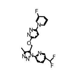 Cc1nnn(-c2ccc(C(F)F)cn2)c1COc1ccc(N2C=C=CC(F)=C2)nn1